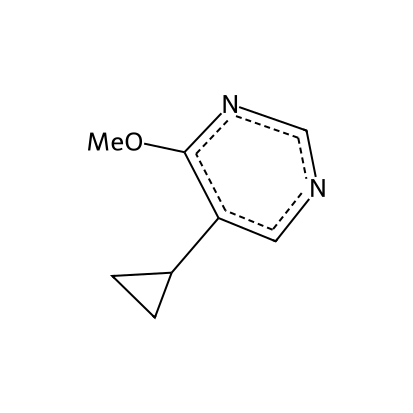 COc1ncncc1C1CC1